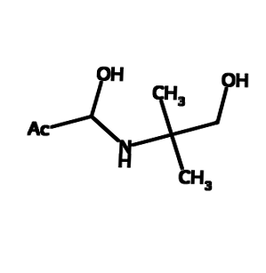 CC(=O)C(O)NC(C)(C)CO